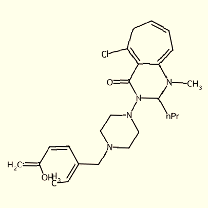 C=C(O)/C=C\C(=C/C)CN1CCN(N2C(=O)C3=C(Cl)CC=CC=C3N(C)C2CCC)CC1